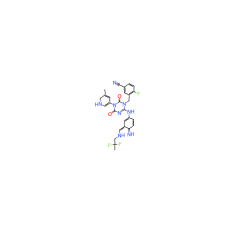 CC1=CC(n2c(=O)nc(NC3=C/C(=C/NCC(C)(F)F)C(=N)C=C3)n(Cc3cc(C#N)ccc3F)c2=O)=CNC1